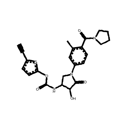 C#Cc1ccc(OC(=O)NC2CN(c3ccc(C(=O)N4CCCC4)c(C)c3)C(=O)C2O)s1